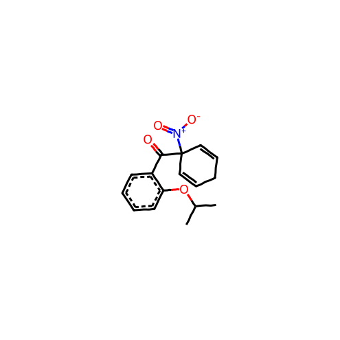 CC(C)Oc1ccccc1C(=O)C1([N+](=O)[O-])C=CCC=C1